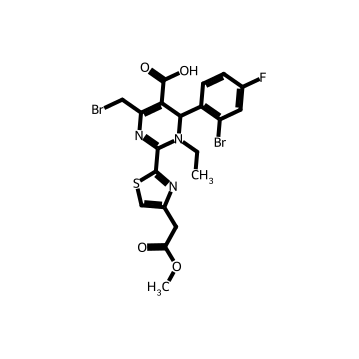 CCN1C(c2nc(CC(=O)OC)cs2)=NC(CBr)=C(C(=O)O)C1c1ccc(F)cc1Br